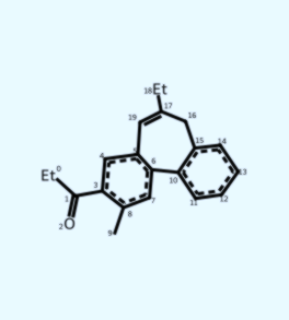 CCC(=O)c1cc2c(cc1C)-c1ccccc1CC(CC)=C2